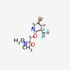 CN(C)C(=O)COc1ncc(Br)cc1C(F)F